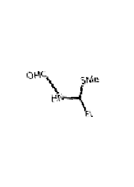 [CH2]CC(NC=O)SC